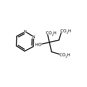 O=C(O)CC(O)(CC(=O)O)C(=O)O.c1ccnnc1